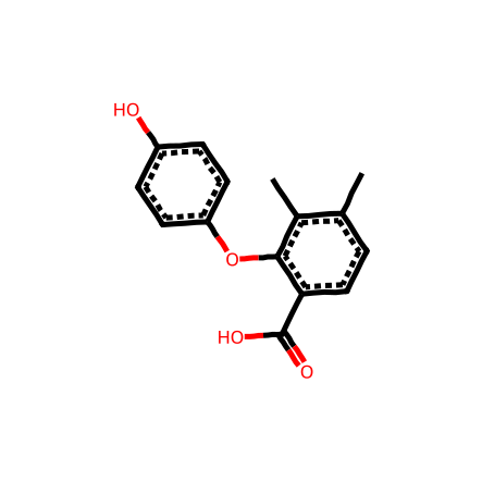 Cc1ccc(C(=O)O)c(Oc2ccc(O)cc2)c1C